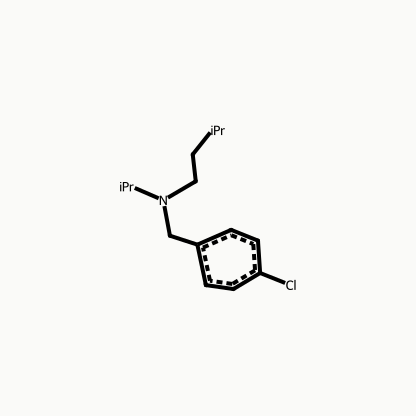 CC(C)CCN(Cc1ccc(Cl)cc1)C(C)C